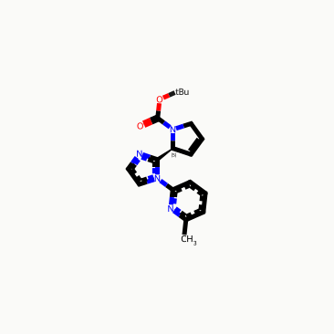 Cc1cccc(-n2ccnc2[C@@H]2C=CCN2C(=O)OC(C)(C)C)n1